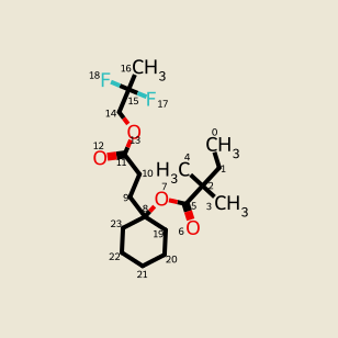 CCC(C)(C)C(=O)OC1(CCC(=O)OCC(C)(F)F)CCCCC1